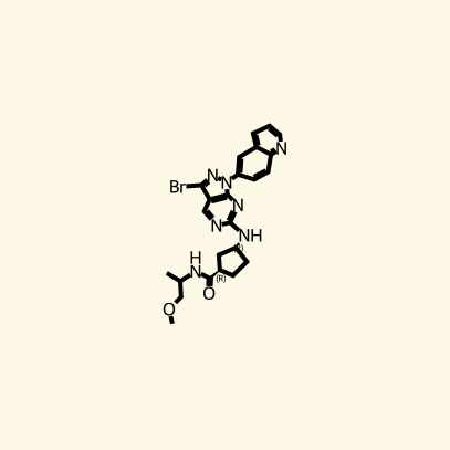 COCC(C)NC(=O)[C@@H]1CC[C@@H](Nc2ncc3c(Br)nn(-c4ccc5ncccc5c4)c3n2)C1